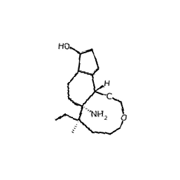 CC[C@]1(C)CCCOCC[C@H]2C3CCC(O)C3CC[C@@]21N